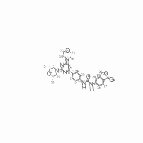 C[C@@H]1CN(c2nc(-c3ccc(NC(=O)Nc4ccc5c(c4)COC5=O)cc3)nc(N3CCOCC3)n2)C[C@H](C)O1